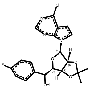 CC1(C)O[C@@H]2[C@H](O1)[C@@H](C(O)c1ccc(F)cc1)O[C@H]2n1ccc2c(Cl)ncnc21